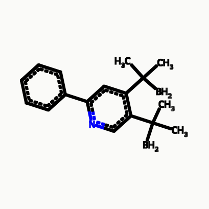 BC(C)(C)c1cnc(-c2ccccc2)cc1C(B)(C)C